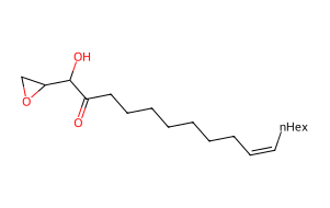 CCCCCC/C=C\CCCCCCCC(=O)C(O)C1CO1